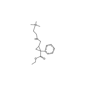 CCOC(=O)C1(c2ccccc2)CC1CNCC[N+](C)(C)C